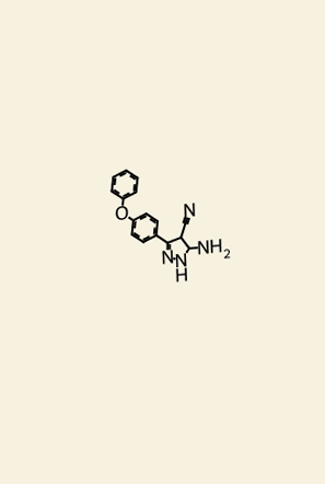 N#CC1C(c2ccc(Oc3ccccc3)cc2)=NNC1N